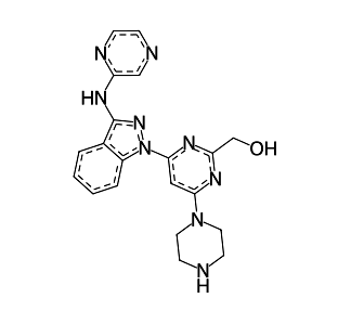 OCc1nc(N2CCNCC2)cc(-n2nc(Nc3cnccn3)c3ccccc32)n1